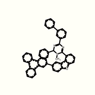 CN1C(c2cccc3oc4ccc(-c5ccc6c7ccccc7c7ccccc7c6c5)cc4c23)=NC(c2cccc(-c3ccccc3)c2)=NC1c1ccccc1